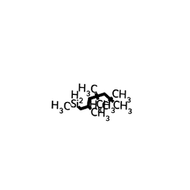 C[SiH2]CC(C)CC(C)(C)CC(C)(C)C